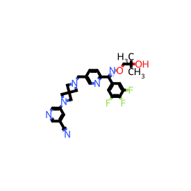 CC(C)(O)CO/N=C(\c1cc(F)c(F)c(F)c1)c1ccc(CN2CC3(C2)CN(c2cncc(C#N)c2)C3)cn1